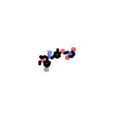 C=C(CC(NCc1ccc(OCCN2C(=O)CCC2=O)c(C)c1)c1ccc(Cl)cc1)OCC